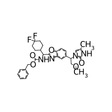 COCC(c1ccc2oc([C@@H](NC(=O)OCc3ccccc3)C3CCC(F)(F)CC3)nc2c1)n1cc(C)[nH]c1=O